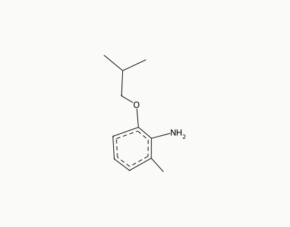 Cc1cccc(OCC(C)C)c1N